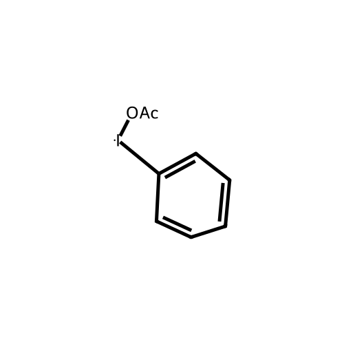 CC(=O)O[I]c1ccccc1